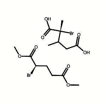 CC(CC(=O)O)[C@@](C)(Br)C(=O)O.COC(=O)CC[C@@H](Br)C(=O)OC